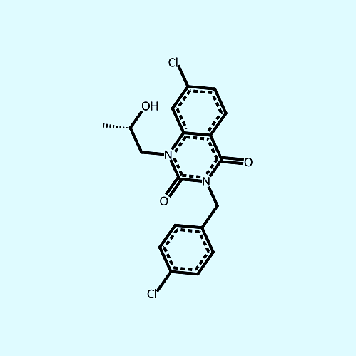 C[C@H](O)Cn1c(=O)n(Cc2ccc(Cl)cc2)c(=O)c2ccc(Cl)cc21